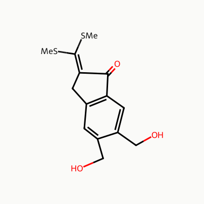 CSC(SC)=C1Cc2cc(CO)c(CO)cc2C1=O